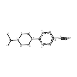 CC(C)N1CCN(c2ncc(C#N)cn2)CC1